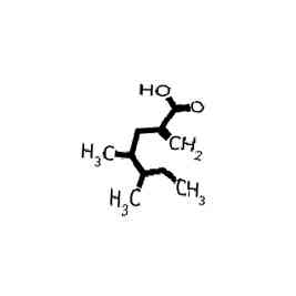 C=C(CC(C)C(C)CC)C(=O)O